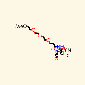 COCCOCCOCCOCCC(=O)N[Si](C)(N=C=O)OC#N